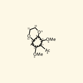 COc1cc2c(c(OC)c1C(C)=O)OCCO2